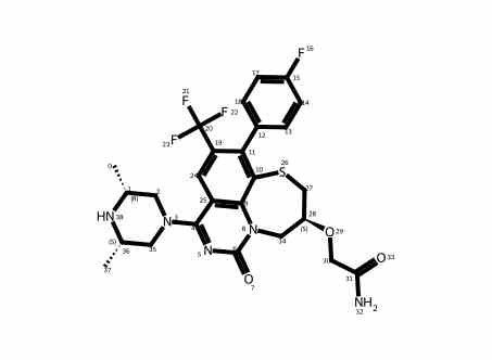 C[C@@H]1CN(c2nc(=O)n3c4c(c(-c5ccc(F)cc5)c(C(F)(F)F)cc24)SC[C@@H](OCC(N)=O)C3)C[C@H](C)N1